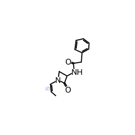 C/C=C\N1CC(NC(=O)Cc2ccccc2)C1=O